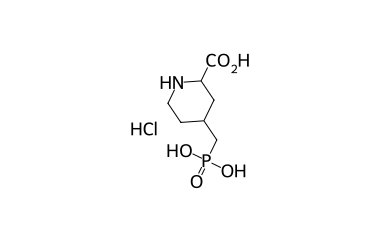 Cl.O=C(O)C1CC(CP(=O)(O)O)CCN1